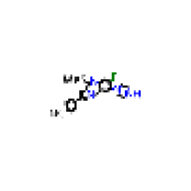 CSC1=Nc2cc(F)c(N3CCNCC3)cc2Cn2cc(-c3ccc(C#N)cc3)cc21